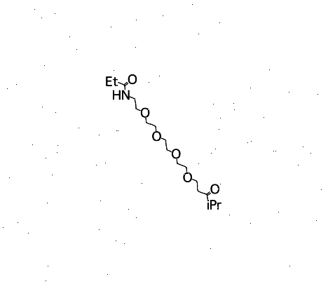 CCC(=O)NCCOCCOCCOCCOCCC(=O)C(C)C